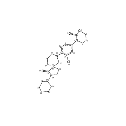 O=C1OCCCN1c1cnc(N2CCC[C@@]3(CCN(C4CCCCC4)C3=O)C2)c(Cl)c1